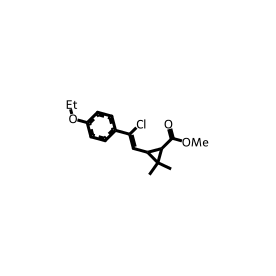 CCOc1ccc(C(Cl)=CC2C(C(=O)OC)C2(C)C)cc1